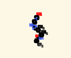 Cc1ccc(NC(=O)c2cccc(C(F)(F)F)c2)cc1-c1cc(C)c2nc(Nc3ccc(N4CCC(O)CC4)cc3)ncc2c1